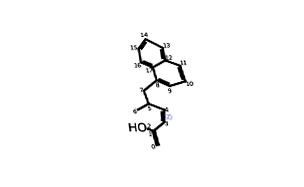 C=C(O)/C=C\C(C)Cc1cccc2ccccc12